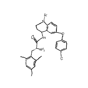 CC(=O)N1CCC(NC(=O)C(N)Cc2c(C)cc(C)cc2C)c2cc(Oc3ccc(Cl)cc3)ccc21